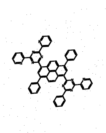 c1ccc(-c2nc(-c3ccccn3)nc(-c3cc(-c4ccccc4)c4ccc5c(-c6nc(-c7ccccn7)nc(-c7ccccn7)n6)cc(-c6ccccc6)c6ccc3c4c65)n2)cc1